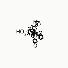 COc1ccccc1[C@H](Cn1c(=O)n(C(C)(C)C(=O)O)c(=O)c2c(C)c(-c3ncco3)sc21)OC1CCC(=O)CC1